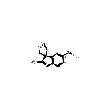 CCC1(CC)C(C)=Nc2ccc(OC)cc21